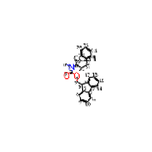 CN(C(=O)OCC1c2ccccc2-c2ccccc21)C(CCc1ccccc1)C(=O)O